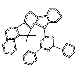 CC1(C)c2c(ccc3nccnc23)-c2ccc3c4ccccc4n(-c4nc(-c5ccccc5)nc(-c5ccccc5)n4)c3c21